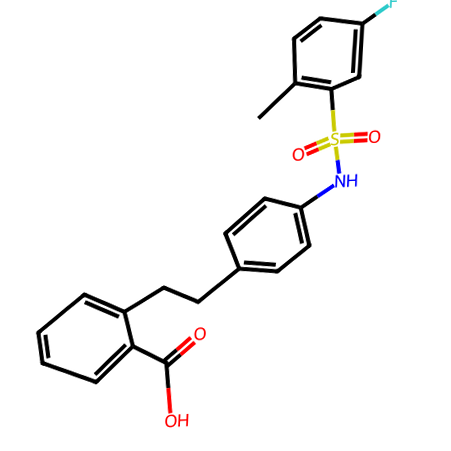 Cc1ccc(F)cc1S(=O)(=O)Nc1ccc(CCc2ccccc2C(=O)O)cc1